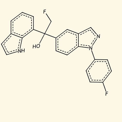 OC(CF)(c1ccc2c(cnn2-c2ccc(F)cc2)c1)c1cccc2cc[nH]c12